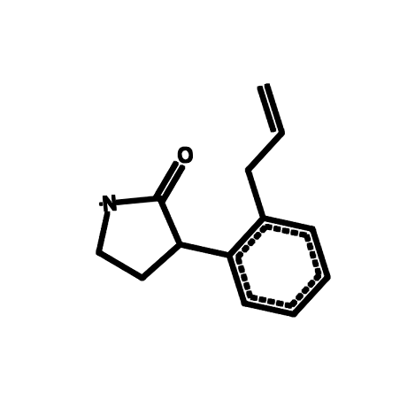 C=CCc1ccccc1C1CC[N]C1=O